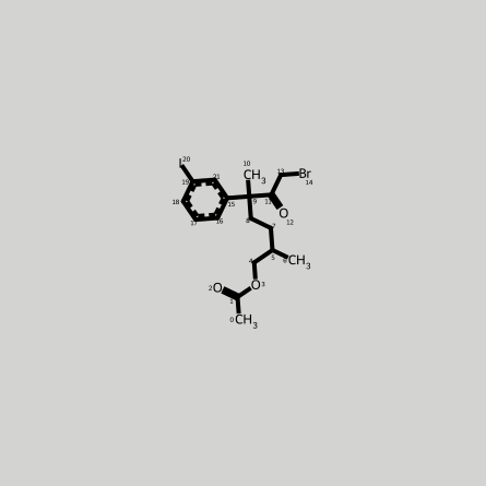 CC(=O)OCC(C)CCC(C)(C(=O)CBr)c1cccc(I)c1